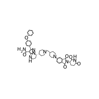 NC(=O)c1c(-c2ccc(Oc3ccccc3)cc2)nn2c1NCC[C@H]2C1CCN(CC2CCN(c3ccc4c(c3)C(=O)N(C3CCC(=O)NC3=O)C4=O)CC2)CC1